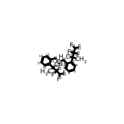 CC(C)(c1ccccc1COCc1ccccc1C(C)(C)C(F)(F)C(F)F)C(F)(F)C(F)F